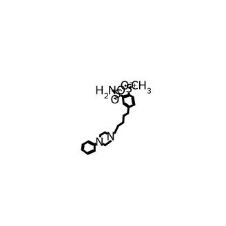 C[S+]([O-])c1ccc(CCCCCN2CCN(c3ccccc3)CC2)cc1S(N)(=O)=O